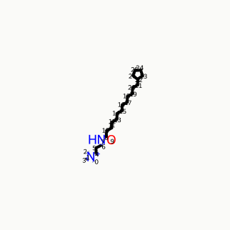 C[N+](C)(C)CCCNC(=O)CCCCCCCCCCCCC1CCCC1